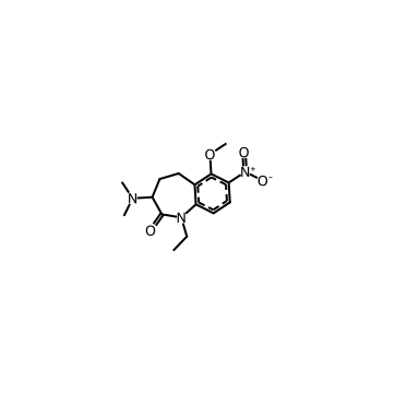 CCN1C(=O)C(N(C)C)CCc2c1ccc([N+](=O)[O-])c2OC